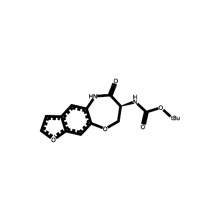 CC(C)(C)OC(=O)N[C@H]1COc2cc3occc3cc2NC1=O